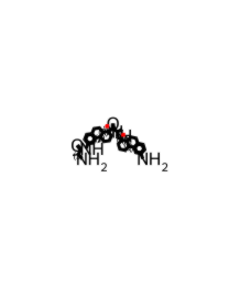 C[C@H](N)C(=O)Nc1ccc2c(c1)[C@@]1(C)CCC[C@](C)(C(=O)N(C)C[C@@]3(C)CCC[C@]4(C)c5cc(N)ccc5CC[C@@H]34)[C@]1(C)CC2